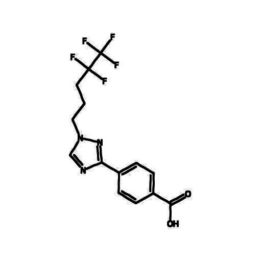 O=C(O)c1ccc(-c2ncn(CCCC(F)(F)C(F)(F)F)n2)cc1